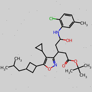 Cc1ccc(Cl)c(NC(O)CC(CC(=O)OC(C)(C)C)c2noc(C3CC(CC(C)C)C3)c2C2CC2)c1